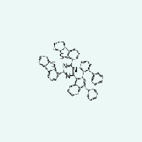 c1ccc(-c2ccccc2-c2cc(-c3ccccc3)c3ccccc3c2-c2nc(-c3cccc4c3sc3ccccc34)nc(-c3cccc4c3sc3ccccc34)n2)cc1